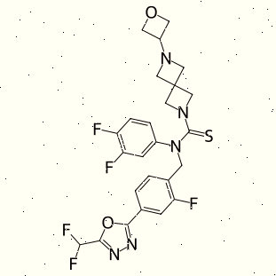 Fc1ccc(N(Cc2ccc(-c3nnc(C(F)F)o3)cc2F)C(=S)N2CC3(C2)CN(C2COC2)C3)cc1F